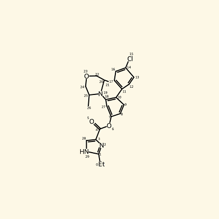 CCc1nc(C(=O)Oc2ccc(-c3ccc(Cl)cc3)c(N3C(C)COCC3C)c2)c[nH]1